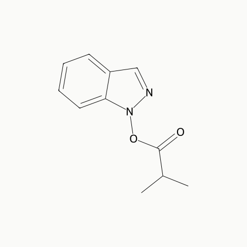 CC(C)C(=O)On1ncc2ccccc21